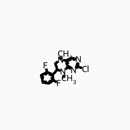 CN1CC(c2c(F)cccc2F)N(C)c2nc(Cl)ncc21